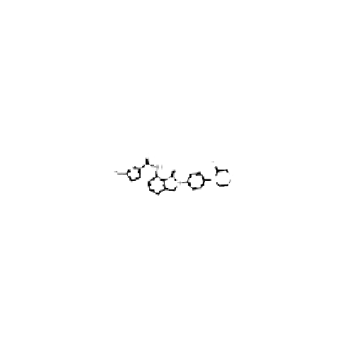 C=C(Nc1cccc2c1C(=O)N(c1ccc(N3CCOCC3=O)cc1)C2)c1ccc(Cl)s1